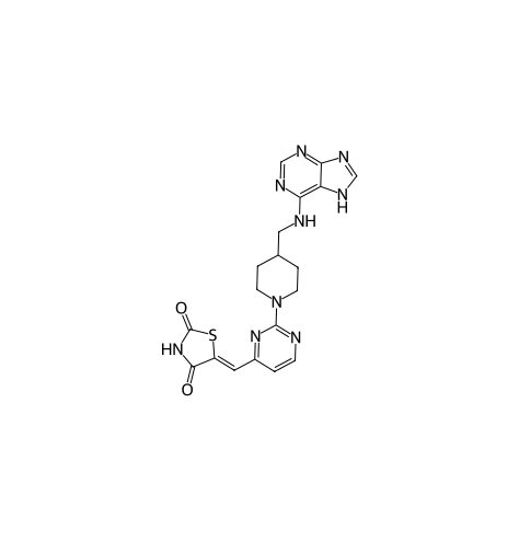 O=C1NC(=O)C(=Cc2ccnc(N3CCC(CNc4ncnc5nc[nH]c45)CC3)n2)S1